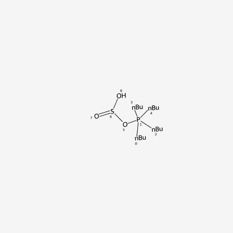 CCCCP(CCCC)(CCCC)(CCCC)OS(=O)O